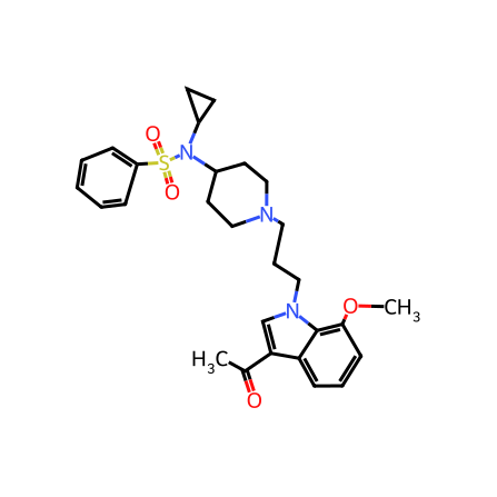 COc1cccc2c(C(C)=O)cn(CCCN3CCC(N(C4CC4)S(=O)(=O)c4ccccc4)CC3)c12